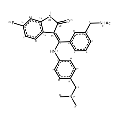 CC(=O)NCc1cccc(C(Nc2ccc(CN(C)C)cc2)=C2C(=O)Nc3cc(F)ccc32)c1